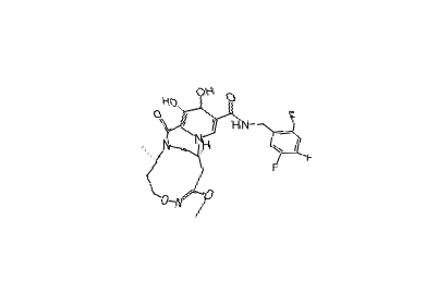 CO/C1=N/OCC[C@H](C)N2C[C@H](C1)N1C=C(C(=O)NCc3cc(F)c(F)cc3F)C(O)C(O)=C1C2=O